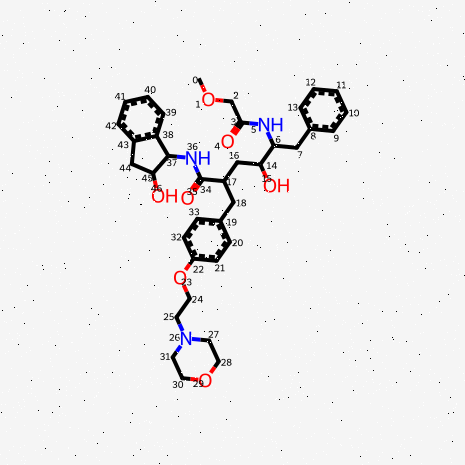 COCC(=O)NC(Cc1ccccc1)C(O)CC(Cc1ccc(OCCN2CCOCC2)cc1)C(=O)NC1c2ccccc2CC1O